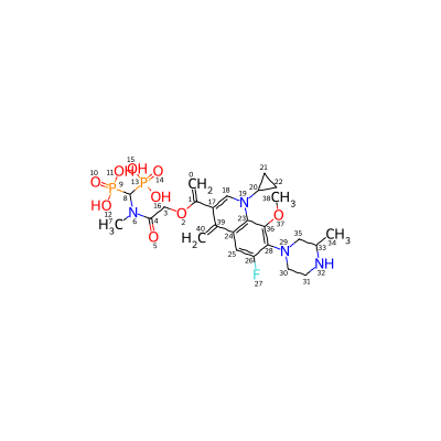 C=C(OCC(=O)N(C)C(P(=O)(O)O)P(=O)(O)O)C1=CN(C2CC2)c2c(cc(F)c(N3CCNC(C)C3)c2OC)C1=C